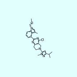 Cc1cn(SOI)c2cccc(-c3nc(Cl)c4c(n3)CCN(c3cc(C(C)C)nn3C)C4)c12